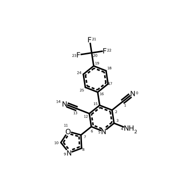 N#Cc1c(N)nc(-c2cnco2)c(C#N)c1-c1ccc(C(F)(F)F)cc1